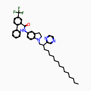 CCCCCCCCCCCCCCC(CN1CCc2cc(NC(=O)c3cc(C(F)(F)F)ccc3-c3ccccc3)ccc21)c1cnccn1